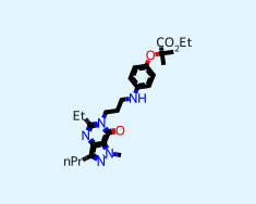 CCCc1nn(C)c2c(=O)n(CCCNc3ccc(OC(C)(C)C(=O)OCC)cc3)c(CC)nc12